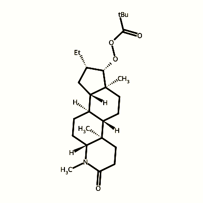 CC[C@H]1C[C@H]2[C@@H]3CC[C@H]4N(C)C(=O)CC[C@]4(C)[C@H]3CC[C@]2(C)[C@H]1OOC(=O)C(C)(C)C